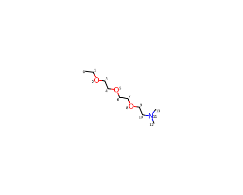 CCOCCOCCOCCN(C)C